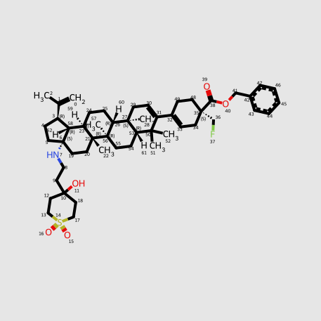 C=C(C)[C@@H]1CC[C@]2(NCCC3(O)CCS(=O)(=O)CC3)CC[C@]3(C)[C@H](CC[C@@H]4[C@@]5(C)CC=C(C6=CC[C@](CF)(C(=O)OCc7ccccc7)CC6)C(C)(C)[C@@H]5CC[C@]43C)[C@@H]12